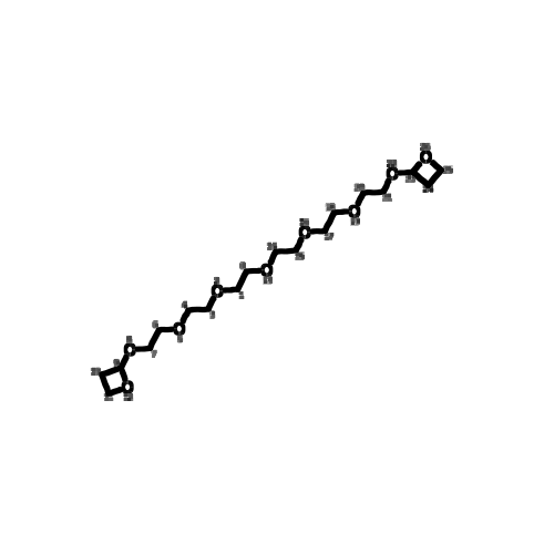 C(COCCOCCOC1CCO1)OCCOCCOCCOC1CCO1